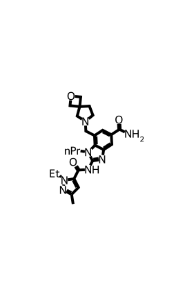 CCCn1c(NC(=O)c2cc(C)nn2CC)nc2cc(C(N)=O)cc(CN3CCC4(COC4)C3)c21